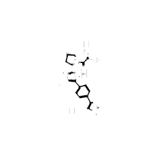 Cc1ncsc1-c1ccc(-c2cnc([C@@H]3C[C@@H](O)CN3C(=O)[C@@H](N)C(C)(C)C)[nH]2)cc1.Cl